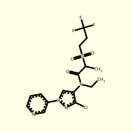 CCN(C(=O)C(C)S(=O)(=O)CCC(F)(F)F)c1cn(-c2cccnc2)nc1Cl